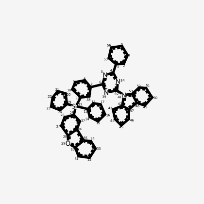 c1ccc(-c2nc(-c3cccc([Si](c4ccccc4)(c4ccccc4)c4ccc5oc6ccccc6c5c4)c3)nc(-n3c4ccccc4c4ccccc43)n2)cc1